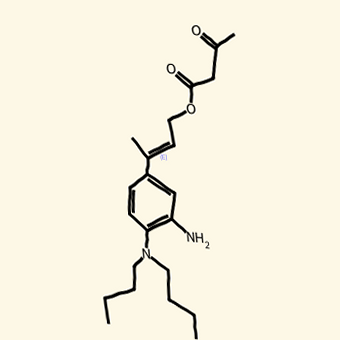 CCCCN(CCCC)c1ccc(/C(C)=C/COC(=O)CC(C)=O)cc1N